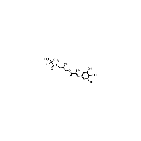 CCC(C)(C)C(=O)OCC(O)COC(=O)/C(C#N)=C/c1cc(O)c(O)c(O)c1